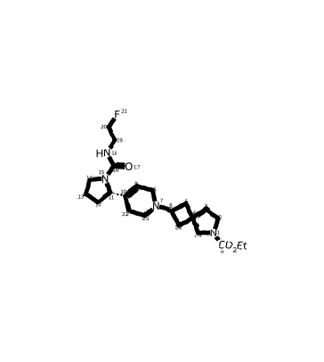 CCOC(=O)N1CCC2(CC(N3CC=C([C@@H]4CCCN4C(=O)NCCF)CC3)C2)C1